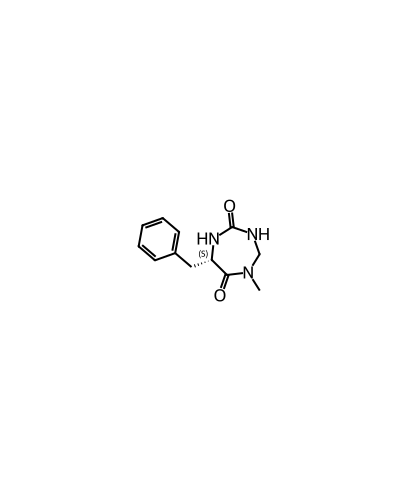 CN1CNC(=O)N[C@@H](Cc2ccccc2)C1=O